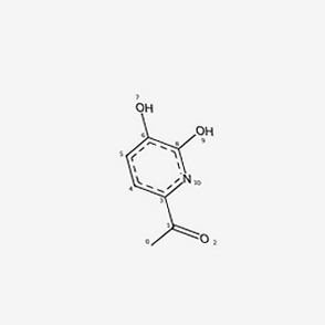 CC(=O)c1ccc(O)c(O)n1